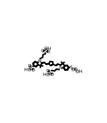 CC1(C)C(C=CC2=CC(=C/C=C3/N(CCCCS(=O)(=O)O)c4ccc(S(=O)(=O)O)cc4C3(C)C)CC2)=[N+](CCCCS(=O)(=O)O)c2ccc(SOOO)cc21